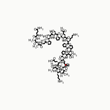 C[C@H](NC(=O)[C@H](C)NC(=O)[C@H](CCCCN)NC(=O)[C@@H](NC(=O)[C@H](CCC(=O)O)NC(=O)[C@H](CCC(=O)O)NC(=O)[C@@H]1CCCN1C(=O)[C@@H](NC(=O)[C@@H]1CCCN1C(=O)[C@@H]1CCCN1C(=O)[C@H](CCCCN)NC(=O)[C@H](CCC(N)=O)NC(=O)[C@@H]1CCCN1C(=O)[C@H](CO)NC(=O)[C@H](CO)NC(=O)[C@@H]1CCCN1C(=O)CNC(=O)[C@H](C)NC(=O)[C@H](C)NC(=O)[C@@H](N)CCC(N)=O)[C@@H](C)O)[C@@H](C)O)C(=O)O